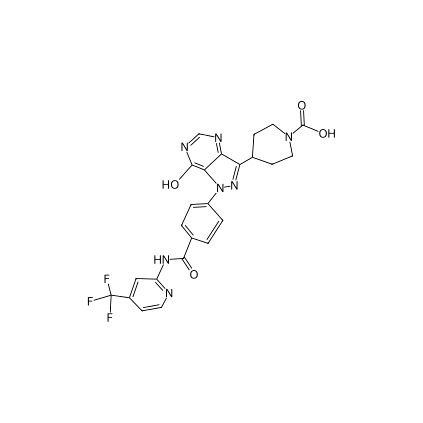 O=C(Nc1cc(C(F)(F)F)ccn1)c1ccc(-n2nc(C3CCN(C(=O)O)CC3)c3ncnc(O)c32)cc1